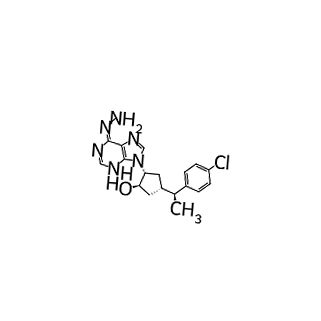 C[C@H](c1ccc(Cl)cc1)[C@@H]1C[C@@H](O)[C@H](n2cnc3/c(=N\N)nc[nH]c32)C1